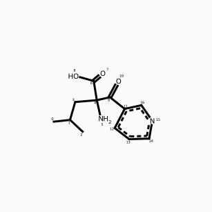 CC(C)CC(N)(C(=O)O)C(=O)c1cccnc1